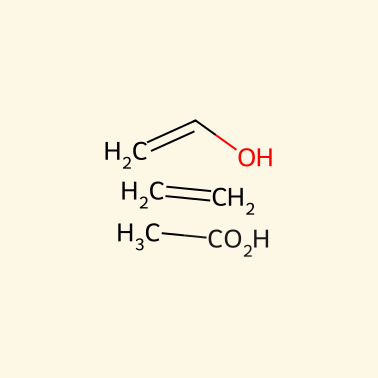 C=C.C=CO.CC(=O)O